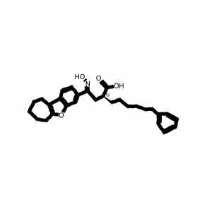 O=C(O)[C@@H](CCCCCCc1ccccc1)CC(=NO)c1ccc2c3c(oc2c1)CCCCC3